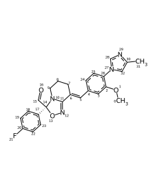 COc1cc(/C=C2\CCCN3C2=NO[C@]3(C=O)c2ccc(F)cc2)ccc1-n1cnc(C)c1